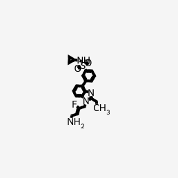 CCc1nc2c(-c3cccc(S(=O)(=O)NC4CC4)c3)cccc2n1CC(F)=CCN